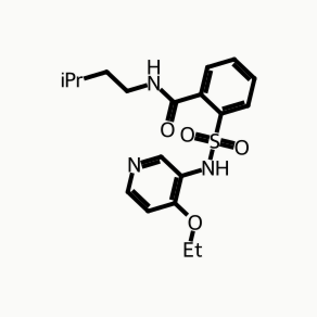 CCOc1ccncc1NS(=O)(=O)c1ccccc1C(=O)NCCC(C)C